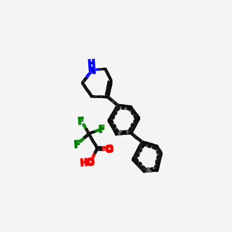 C1=C(c2ccc(-c3ccccc3)cc2)CCNC1.O=C(O)C(F)(F)F